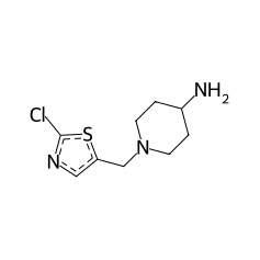 NC1CCN(Cc2cnc(Cl)s2)CC1